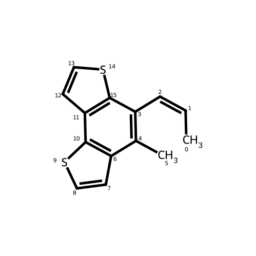 C/C=C\c1c(C)c2ccsc2c2ccsc12